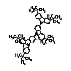 CC(C)(C)c1ccc2c(c1)c1cc(C(C)(C)C)ccc1n2-c1ccc2c(c1)c1cc(C(C)(C)C)cc3c4cc5c(cc4n2c13)c1cc(C(C)(C)C)cc2c3cc(C(C)(C)C)ccc3n5c21